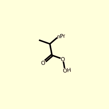 CCCC(C)C(=O)OO